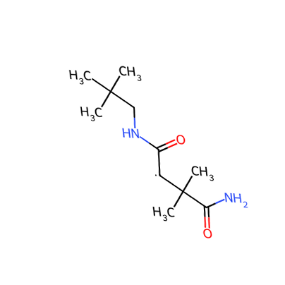 CC(C)(C)CNC(=O)[CH]C(C)(C)C(N)=O